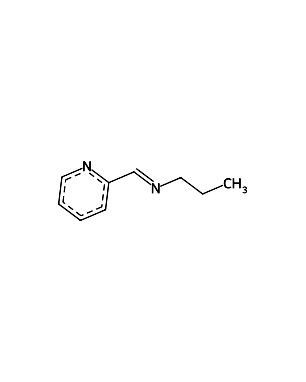 CCC/N=C/c1ccccn1